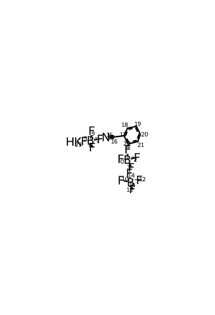 F[B-](F)(F)F.F[B-](F)(F)F.F[B-](F)(F)F.N#Cc1ccccc1.[KH]